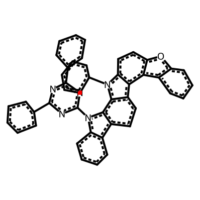 c1ccc(-c2nc(-c3ccccc3)nc(-n3c4ccccc4c4ccc5c6c7c(ccc6n(-c6ccccc6)c5c43)oc3ccccc37)n2)cc1